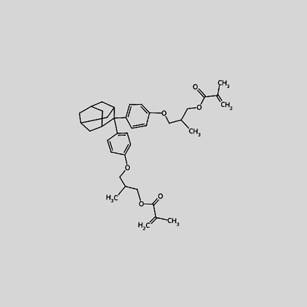 C=C(C)C(=O)OCC(C)COc1ccc(C2(c3ccc(OCC(C)COC(=O)C(=C)C)cc3)C3CC4CC(C3)CC2C4)cc1